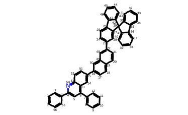 c1ccc(-c2cc(-c3ccccc3)c3cc(-c4ccc5ccc(-c6ccc7c(c6)C6(c8ccccc8-c8ccccc86)c6ccccc6-7)cc5c4)ccc3n2)cc1